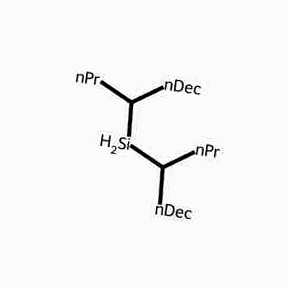 CCCCCCCCCCC(CCC)[SiH2]C(CCC)CCCCCCCCCC